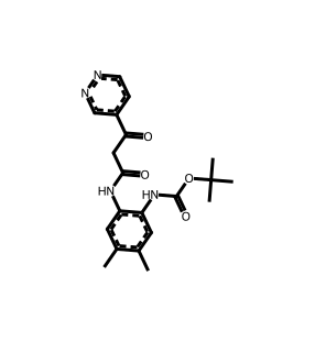 Cc1cc(NC(=O)CC(=O)c2ccnnc2)c(NC(=O)OC(C)(C)C)cc1C